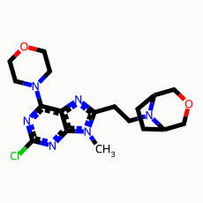 Cn1c(CCN2C3CCC2COC3)nc2c(N3CCOCC3)nc(Cl)nc21